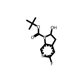 CC(C)(C)OC(=O)N1c2cnc(F)cc2CC1O